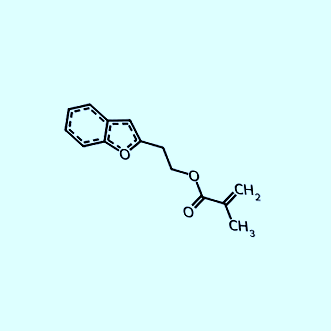 C=C(C)C(=O)OCCc1cc2ccccc2o1